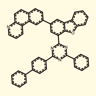 c1ccc(-c2ccc(-c3nc(-c4ccccc4)nc(-c4cc(-c5ccc6ccc7ncccc7c6c5)cc5c4oc4ccccc45)n3)cc2)cc1